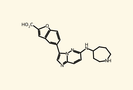 O=C(O)c1cc2cc(-c3cnc4ccc(NC5CCCNCC5)nn34)ccc2o1